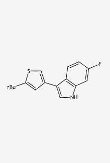 CCCCc1cc(-c2c[nH]c3cc(F)ccc23)cs1